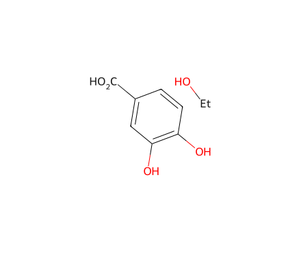 CCO.O=C(O)c1ccc(O)c(O)c1